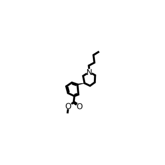 CCCCN1CCC[C@@H](c2cccc(C(=O)OC)c2)C1